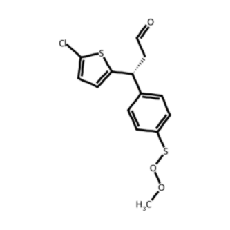 COOSc1ccc([C@@H](CC=O)c2ccc(Cl)s2)cc1